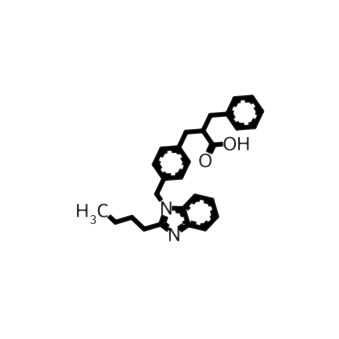 CCCCc1nc2ccccc2n1Cc1ccc(CC(Cc2ccccc2)C(=O)O)cc1